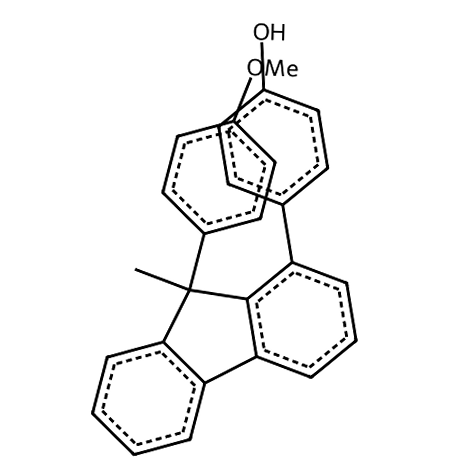 COc1ccc(C2(C)c3ccccc3-c3cccc(-c4ccc(O)cc4)c32)cc1